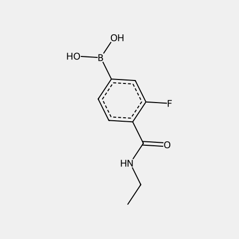 CCNC(=O)c1ccc(B(O)O)cc1F